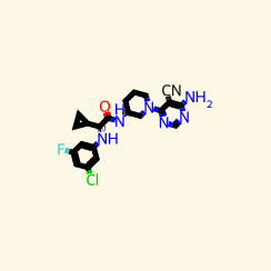 N#Cc1c(N)ncnc1N1CCC[C@@H](NC(=O)[C@H](Nc2cc(F)cc(Cl)c2)C2CC2)C1